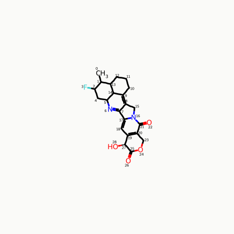 CC1C(F)CC2N=C3C(=C4CCCC1C42)Cn1c3cc2c(c1=O)COC(=O)[C@H]2O